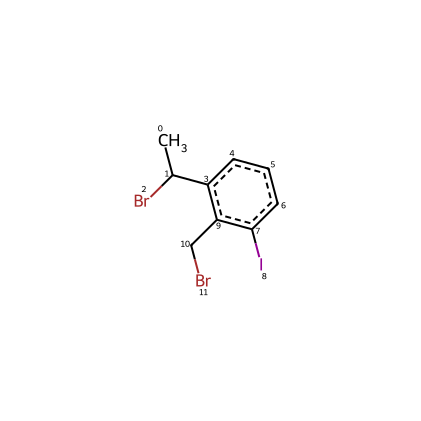 CC(Br)c1cccc(I)c1CBr